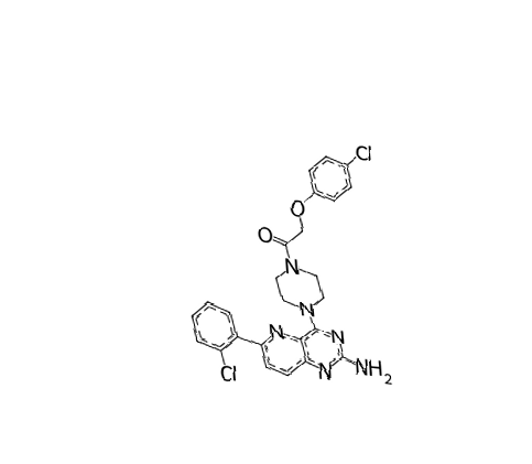 Nc1nc(N2CCN(C(=O)COc3ccc(Cl)cc3)CC2)c2nc(-c3ccccc3Cl)ccc2n1